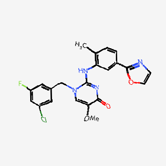 COc1cn(Cc2cc(F)cc(Cl)c2)c(Nc2cc(-c3ncco3)ccc2C)nc1=O